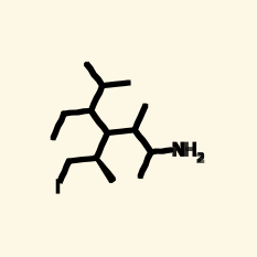 CCC(C(C)C)C(C(C)C(C)N)[C@@H](C)CI